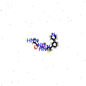 O=C(CNC(=O)c1c[nH]cn1)Nc1nc(-c2cccc(-c3ccncc3)c2)cs1